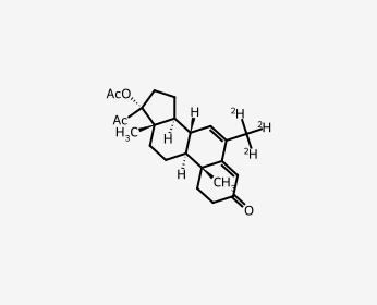 [2H]C([2H])([2H])C1=C[C@@H]2[C@H](CC[C@@]3(C)[C@H]2CC[C@]3(OC(C)=O)C(C)=O)[C@@]2(C)CCC(=O)C=C12